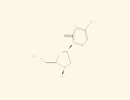 Nc1ccn([C@H]2C[C@@H](N)C(CO)O2)c(=O)n1